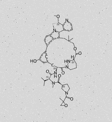 CO[C@@H](C)c1ncccc1-c1c2c3cc(ccc3n1C)-c1cc(O)cc(c1)C[C@H](NC(=O)[C@H](C(C)C)N(C)C(=O)[C@H]1CCN(C(=O)C3(C)CO3)C1)C(=O)N1CCC[C@H](N1)C(=O)OCC(C)(C)C2